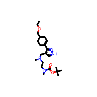 CCOCC1CC=C(c2n[nH]cc2CN(C)CCN(C)C(=O)OC(C)(C)C)CC1